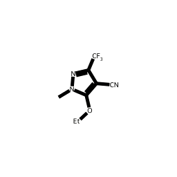 CCOc1c(C#N)c(C(F)(F)F)nn1C